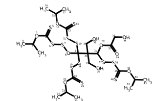 CC(C)OC(=S)SSOC(SSC(=S)OC(C)C)(SSC(=S)OC(C)C)C(CO)(CO)C(OC(=O)CO)SSC(=S)OC(C)C